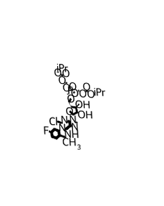 CC(C)OC(=O)OCOP(=O)(COC[C@H]1O[C@@H](n2cnc3c(N[C@@H](C)c4ccc(F)cc4)nc(Cl)nc32)[C@H](O)[C@@H]1O)OCOC(=O)OC(C)C